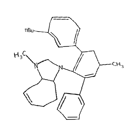 CCCCc1cccc(C2=C(N3CN(C)C4C=CCCC43)C(c3ccccc3)=CC(C)C2)c1